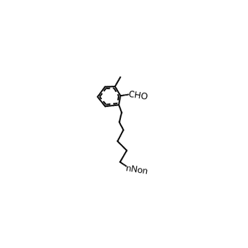 CCCCCCCCCCCCCCCc1cccc(C)c1C=O